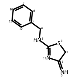 N=C1CSC(NCc2ccccc2)=N1